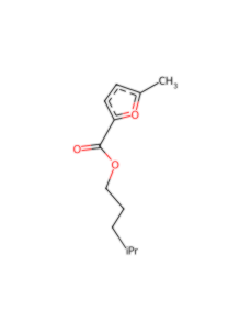 Cc1ccc(C(=O)OCCCC(C)C)o1